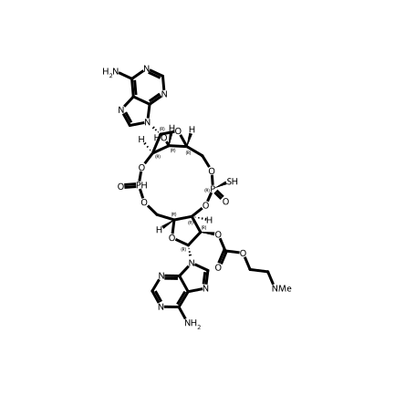 CNCCOC(=O)O[C@@H]1[C@@H]2O[P@](=O)(S)OC[C@H]3O[C@@H](n4cnc5c(N)ncnc54)[C@H](O[PH](=O)OC[C@H]2O[C@H]1n1cnc2c(N)ncnc21)[C@@H]3O